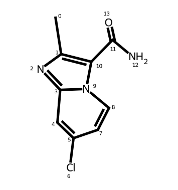 Cc1nc2cc(Cl)ccn2c1C(N)=O